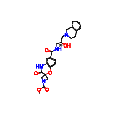 COC(=O)N1CC2(C1)Oc1ccc(C(=O)NC[C@H](O)CN3CCc4ccccc4C3)cc1NC2=O